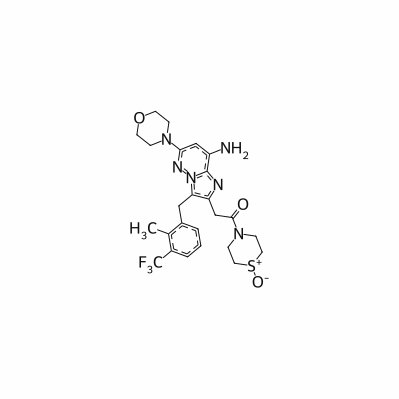 Cc1c(Cc2c(CC(=O)N3CC[S+]([O-])CC3)nc3c(N)cc(N4CCOCC4)nn23)cccc1C(F)(F)F